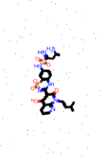 CC(C)CCn1c(=O)c(C2=NS(=O)(=O)c3cc(NS(=O)(=O)C(=N)CC(C)N)ccc3N2)c(O)c2cccnc21